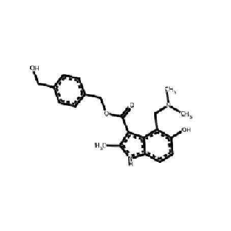 Cc1[nH]c2ccc(O)c(CN(C)C)c2c1C(=O)OCc1ccc(CO)cc1